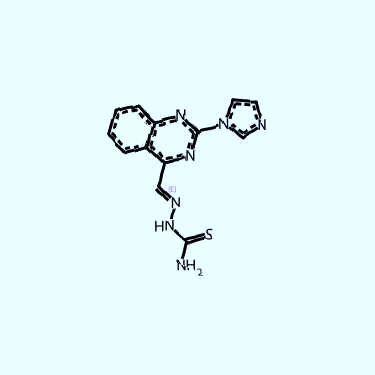 NC(=S)N/N=C/c1nc(-n2ccnc2)nc2ccccc12